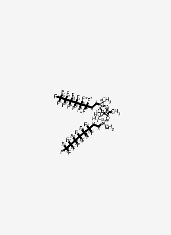 C[Si](C)(CCC(F)(F)C(F)(F)C(F)(F)C(F)(F)C(F)(F)C(F)(F)F)O[Si](C)(C)O[Si](C)(C)CCC(F)(F)C(F)(F)C(F)(F)C(F)(F)C(F)(F)C(F)(F)F